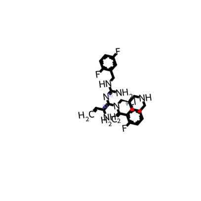 C=C/C(N)=C(\N=C(/N)NCc1cc(F)ccc1F)N(C[C@@H]1CCCNC1)C(=C)c1c(F)cccc1Cl